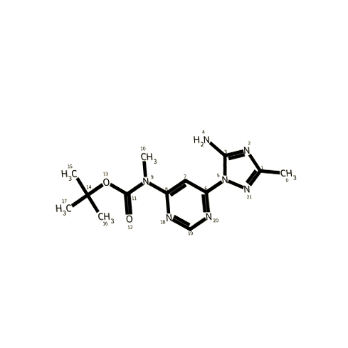 Cc1nc(N)n(-c2cc(N(C)C(=O)OC(C)(C)C)ncn2)n1